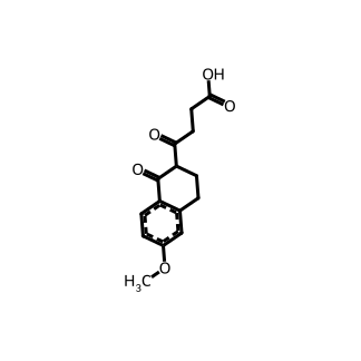 COc1ccc2c(c1)CCC(C(=O)CCC(=O)O)C2=O